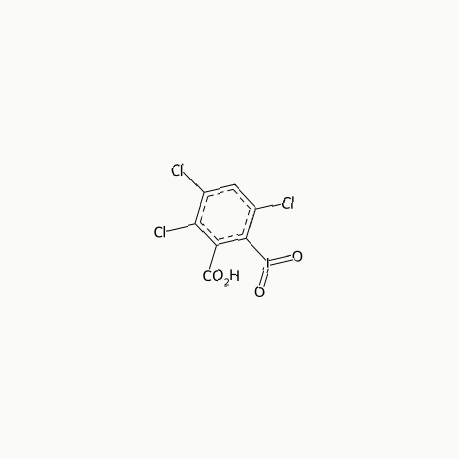 O=C(O)c1c(Cl)c(Cl)cc(Cl)c1I(=O)=O